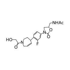 CC(=O)NCC1CN(c2ccc(C3C=CCN(C(=O)CO)CC3)c(F)c2)C(=O)O1